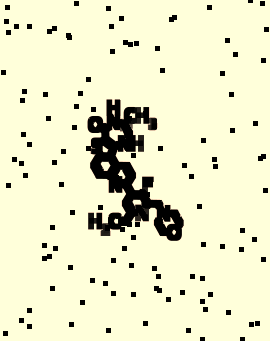 C=Cc1cc(-c2ccc3c(ccc4sc5c(c43)NC[C@@H](C)NC5=O)n2)c(F)c(CN2CCOCC2)n1